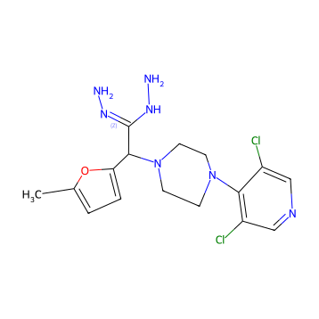 Cc1ccc(C(/C(=N/N)NN)N2CCN(c3c(Cl)cncc3Cl)CC2)o1